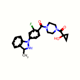 CC1NN(c2ccc(C(=O)N3CCN(C(=O)C4(O)CC4)CC3)c(F)c2)c2ccccc21